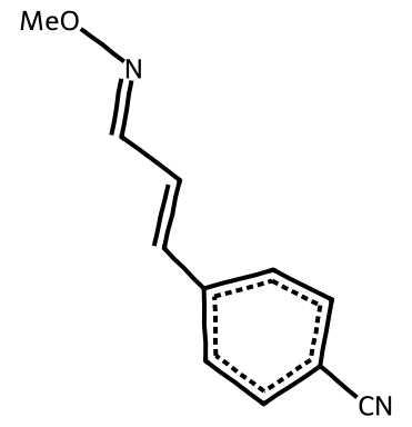 CON=CC=Cc1ccc(C#N)cc1